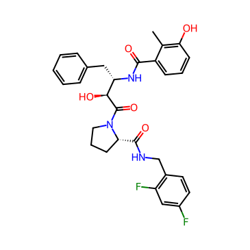 Cc1c(O)cccc1C(=O)N[C@@H](Cc1ccccc1)[C@H](O)C(=O)N1CCC[C@H]1C(=O)NCc1ccc(F)cc1F